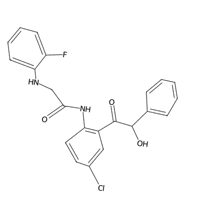 O=C(CNc1ccccc1F)Nc1ccc(Cl)cc1C(=O)C(O)c1ccccc1